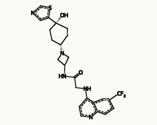 O=C(CNc1ccnc2ccc(C(F)(F)F)cc12)NC1CN([C@H]2CC[C@](O)(c3cncs3)CC2)C1